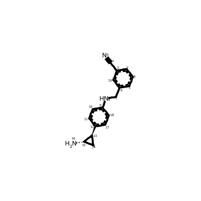 N#Cc1cccc(CNc2ccc([C@H]3C[C@@H]3N)cc2)c1